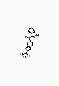 O=C(NO)c1cc2n(c1)CCN(C(=O)c1c[nH]c3ccccc13)C2